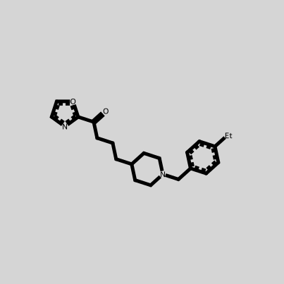 CCc1ccc(CN2CCC(CCCC(=O)c3ncco3)CC2)cc1